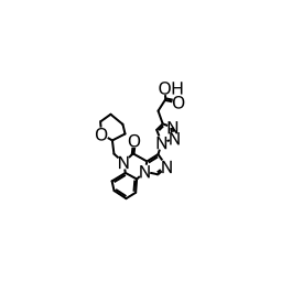 O=C(O)Cc1cn(-c2ncn3c2c(=O)n(CC2CCCCO2)c2ccccc23)nn1